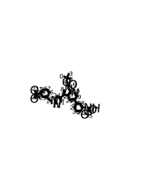 CC(C)(C)OC(=O)n1cc(-c2cnn(Cc3cccc([N+](=O)[O-])c3)c2)c2cc(-c3cccc(NS(C)(=O)=O)c3)cnc21